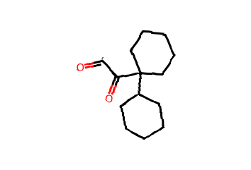 O=[C]C(=O)C1(C2CCCCC2)CCCCC1